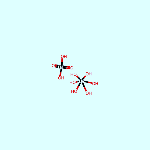 O=[Te](=O)(O)O.O[Te](O)(O)(O)(O)O